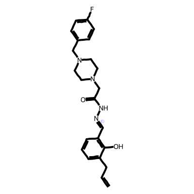 C=CCc1cccc(/C=N/NC(=O)CN2CCN(Cc3ccc(F)cc3)CC2)c1O